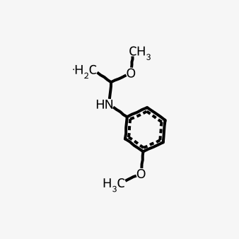 [CH2]C(Nc1cccc(OC)c1)OC